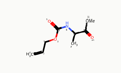 C=CCOC(=O)NC(C)C(=O)OC